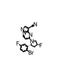 N#Cc1cnn2ccc(N3C[C@@H](F)C[C@@H]3c3cc(F)ccc3Br)nc12